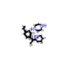 C1CNCCN1.C=Cc1ccc(C(C)C2CCCCN2)cc1